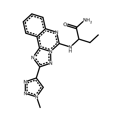 CCC(Nc1nc2ccccc2c2nc(-c3cn(C)nn3)nn12)C(N)=O